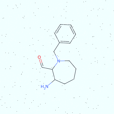 NC1CCCCN(Cc2ccccc2)C1C=O